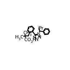 CC(C)C(c1ccccc1)n1nnnc1-c1ccccc1CC(C)(C)C(=O)O